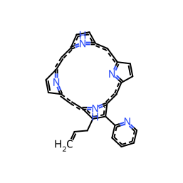 C=CCc1c(-c2ccccn2)c2cc3nc(cc4ccc(cc5nc(cc1[nH]2)C=C5)[nH]4)C=C3